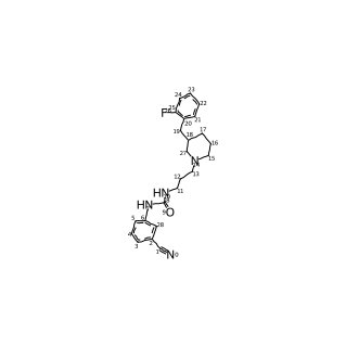 N#Cc1cccc(NC(=O)NCCCN2CCCC(Cc3ccccc3F)C2)c1